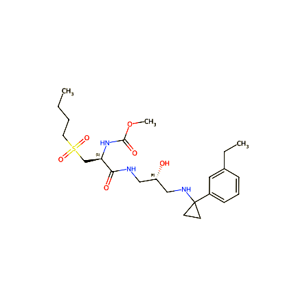 CCCCS(=O)(=O)C[C@@H](NC(=O)OC)C(=O)NC[C@H](O)CNC1(c2cccc(CC)c2)CC1